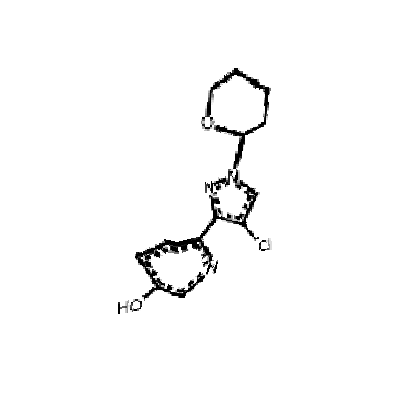 Oc1ccc(-c2nn(C3CCCCO3)cc2Cl)nc1